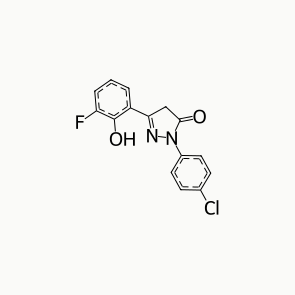 O=C1CC(c2cccc(F)c2O)=NN1c1ccc(Cl)cc1